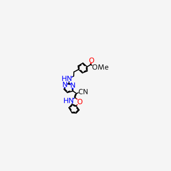 COC(=O)c1ccc(CCNc2nccc(C(C#N)=C3Nc4ccccc4O3)n2)cc1